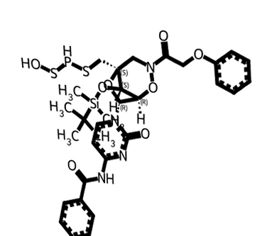 CC(C)(C)[Si](C)(C)O[C@H]1[C@H]2ON(C(=O)COc3ccccc3)C[C@]1(CSPSO)O[C@H]2n1ccc(NC(=O)c2ccccc2)nc1=O